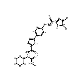 CNC(=O)[C@@H](NC(=O)c1ccc(-c2ccc(CNC(=O)c3cc(C)c(C)o3)cc2)o1)C1CCCCC1